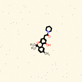 Cc1ccc2c(c1)-c1c(O)cc(CC(=O)N3CCCCC3)cc1OC2(C)C